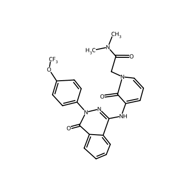 CN(C)C(=O)Cn1cccc(Nc2nn(-c3ccc(OC(F)(F)F)cc3)c(=O)c3ccccc23)c1=O